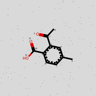 CC(=O)c1cc(C)ccc1C(=O)O